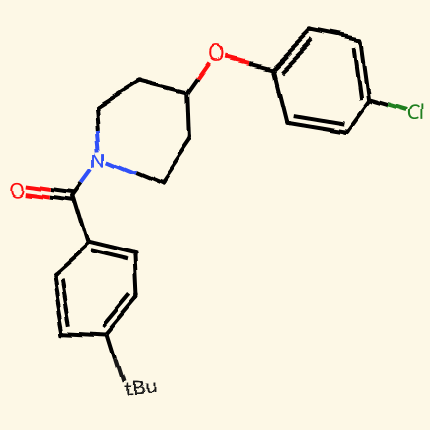 CC(C)(C)c1ccc(C(=O)N2CCC(Oc3ccc(Cl)cc3)CC2)cc1